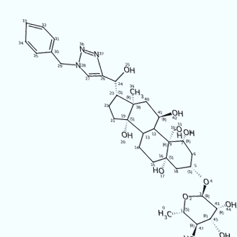 C[C@@H]1O[C@@H](O[C@H]2C[C@@H](O)[C@]3(CO)C4C(CC[C@]3(O)C2)[C@@]2(O)CC[C@H](C(O)c3cn(Cc5ccccc5)nn3)[C@@]2(C)C[C@H]4O)[C@H](O)[C@H](O)[C@H]1O